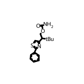 CC(C)(C)C(COC(N)=O)c1csc(-c2ccccc2)n1